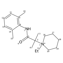 CC[N+]1(C(C)(C)C(=O)Nc2c(C)cccc2C)CCCCC1